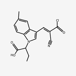 CCC(C(=O)O)n1cc(/C=C(\C#N)C(=O)Cl)c2cc(C)ccc21